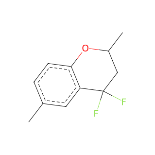 Cc1ccc2c(c1)C(F)(F)CC(C)O2